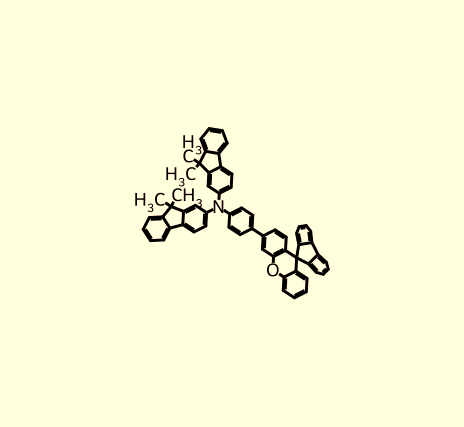 CC1(C)c2ccccc2-c2ccc(N(c3ccc(-c4ccc5c(c4)Oc4ccccc4C54c5ccccc5-c5ccccc54)cc3)c3ccc4c(c3)C(C)(C)c3ccccc3-4)cc21